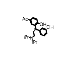 CC(=O)c1ccc(O)c([C@H](CCN(C(C)C)C(C)C)c2ccccc2)c1.Cl